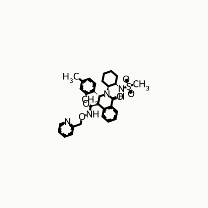 Cc1ccc([C@H]2[C@H](C(=O)NOCc3ccccn3)c3ccccc3C(=O)N2[C@H]2CCCC[C@@H]2NS(C)(=O)=O)c(C)c1